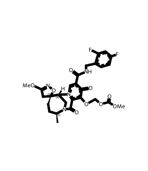 COC(=O)OCOc1c2n(cc(C(=O)NCc3ccc(F)cc3F)c1=O)[C@@H]1CN(C2=O)[C@@H](C)CC[C@]12CC(OC)=NO2